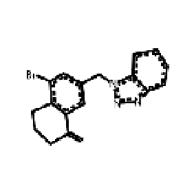 C=C1CCCc2c(Br)cc(Cn3nnc4ccccc43)cc21